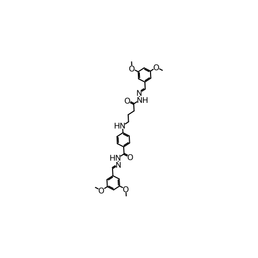 COc1cc(C=NNC(=O)CCCNc2ccc(C(=O)NN=Cc3cc(OC)cc(OC)c3)cc2)cc(OC)c1